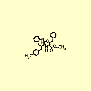 CCOC(=O)[C@H](CCc1ccccc1)N[C@H]1C(=O)Nc2ccccc2CC1Cc1ccc(C)cc1